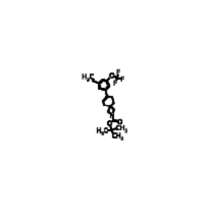 C=Cc1cc(OC(F)(F)F)cc(C2=CCC3(CC2)CN(C(=O)OC(C)(C)C)C3)c1